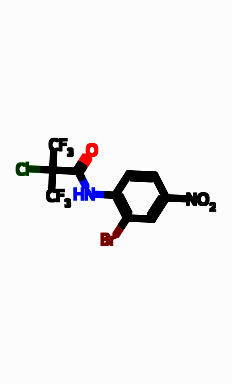 O=C(Nc1ccc([N+](=O)[O-])cc1Br)C(Cl)(C(F)(F)F)C(F)(F)F